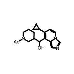 CC(=O)N1CCCC(C(O)c2c(C3CC3)ccn3cncc23)C1